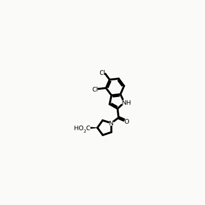 O=C(O)[C@@H]1CCN(C(=O)c2cc3c(Cl)c(Cl)ccc3[nH]2)C1